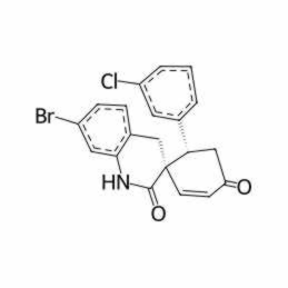 O=C1C=C[C@]2(Cc3ccc(Br)cc3NC2=O)[C@H](c2cccc(Cl)c2)C1